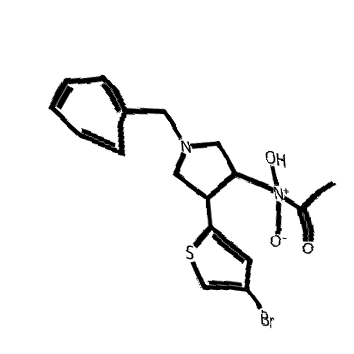 CC(=O)[N+]([O-])(O)C1CN(Cc2ccccc2)CC1c1cc(Br)cs1